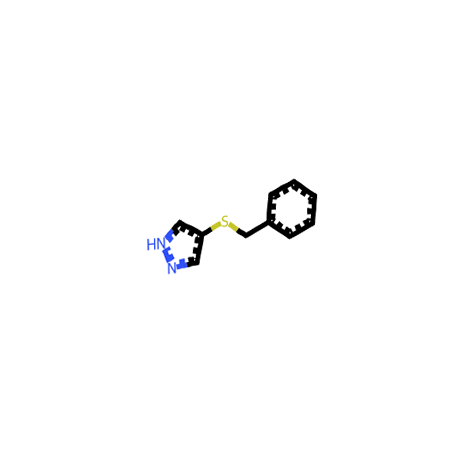 c1ccc(CSc2cn[nH]c2)cc1